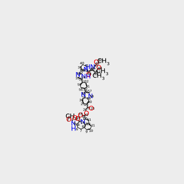 COC(=O)N[C@H]1CCc2cccc3c2N(C1=O)[C@H](C(=O)OCC(=O)c1ccc2nc(-c4ccc(-c5cnc([C@@H]6CCCN6C(=O)[C@@H](NC(=O)OC)C(C)C)[nH]5)cc4)cnc2c1)C3